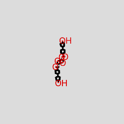 O=C(C[C@@H]1COC2C1OC[C@@H]2OC(=O)c1ccc(-c2ccc(O)cc2)cc1)c1ccc(-c2ccc(O)cc2)cc1